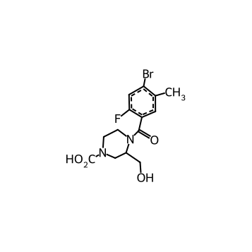 Cc1cc(C(=O)N2CCN(C(=O)O)CC2CO)c(F)cc1Br